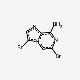 Bc1nc(Br)cn2c(Br)cnc12